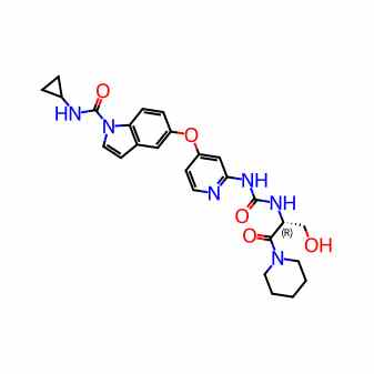 O=C(Nc1cc(Oc2ccc3c(ccn3C(=O)NC3CC3)c2)ccn1)N[C@H](CO)C(=O)N1CCCCC1